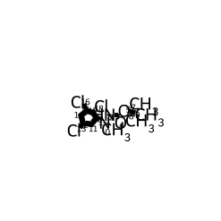 CN(NC(=O)OC(C)(C)C)c1cc(Cl)cc(Cl)c1Cl